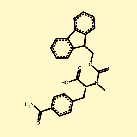 CN(C(=O)OCC1c2ccccc2-c2ccccc21)[C@@H](Cc1ccc(C(N)=O)cc1)C(=O)O